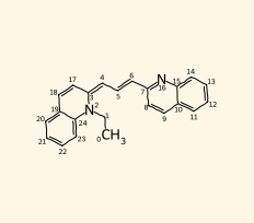 CCN1C(=CC=Cc2ccc3ccccc3n2)C=Cc2ccccc21